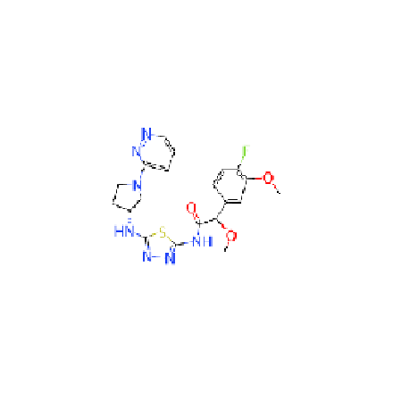 COc1cc([C@@H](OC)C(=O)Nc2nnc(N[C@@H]3CCN(c4cccnn4)C3)s2)ccc1F